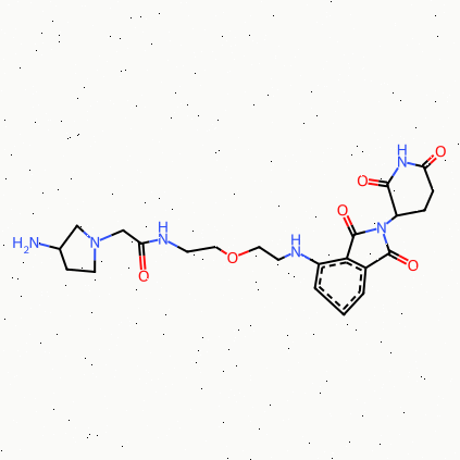 NC1CCN(CC(=O)NCCOCCNc2cccc3c2C(=O)N(C2CCC(=O)NC2=O)C3=O)C1